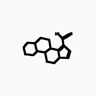 O=C(S)C1=C2C(C=C1)CCC1C2CCC2CCCCC21